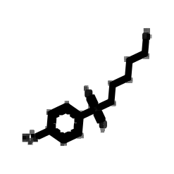 Nc1ccc(S(=O)(=O)CCCCC[O])cc1